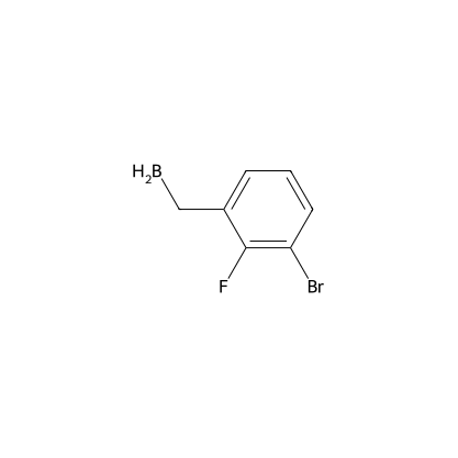 BCc1cccc(Br)c1F